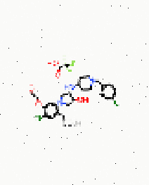 O=C(O)C(F)(F)F.O=C(O)Cc1cc(Cl)c(OCCO)cc1N1C[C@H](NC2CCN(Cc3ccc(Cl)cc3)CC2)[C@@H](O)C1